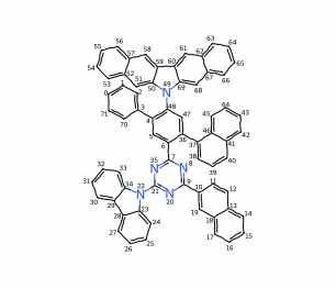 c1ccc(-c2cc(-c3nc(-c4ccc5ccccc5c4)nc(-n4c5ccccc5c5ccccc54)n3)c(-c3cccc4ccccc34)cc2-n2c3cc4ccccc4cc3c3cc4ccccc4cc32)cc1